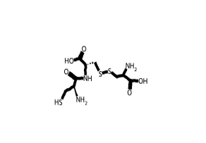 NC(CSSC[C@H](NC(=O)[C@@H](N)CS)C(=O)O)C(=O)O